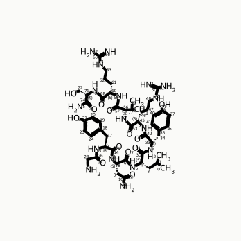 CC(C)C[C@H](NC(=O)[C@H](CC(N)=O)NC(=O)[C@H](Cc1ccc(O)cc1)NC(=O)CN)C(=O)N[C@@H](Cc1ccc(O)cc1)C(=O)N[C@@H](CCCNC(=N)N)C(=O)N[C@H](C(=O)N[C@@H](CCCNC(=N)N)C(=O)N[C@@H](CO)C(N)=O)C(C)C